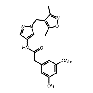 COc1cc(O)cc(CC(=O)Nc2cnn(Cc3c(C)noc3C)c2)c1